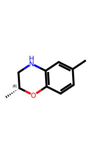 Cc1ccc2c(c1)NC[C@@H](C)O2